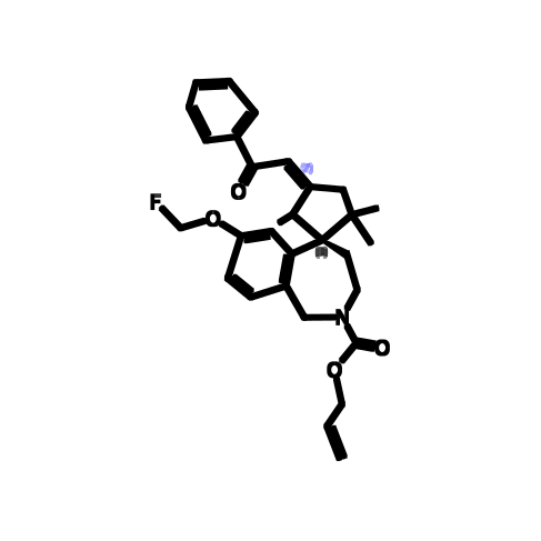 C=CCOC(=O)N1CC[C@@]2(c3cc(OCF)ccc3C1)C(C)/C(=C\C(=O)c1ccccc1)CC2(C)C